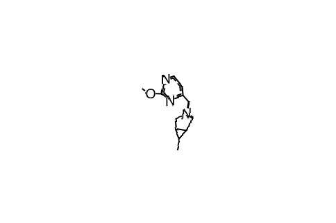 COc1nccc(CN2CC3C(C)C3C2)n1